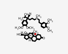 C#C[C@]1(O)CC[C@H]2[C@@H]3CCC4=CC(=O)CC[C@@H]4[C@H]3C(=C)C[C@@]21CC.COc1ccc(CCN(C)CCCC(C#N)(c2ccc(OC)c(OC)c2)C(C)C)cc1OC